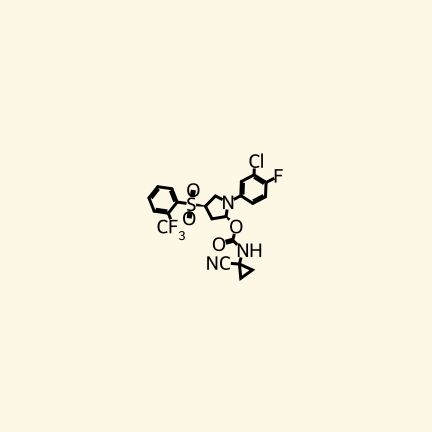 N#CC1(NC(=O)O[C@H]2C[C@@H](S(=O)(=O)c3ccccc3C(F)(F)F)CN2c2ccc(F)c(Cl)c2)CC1